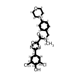 CN(Cc1ccc(N2CCOCC2)cc1)C(=O)c1nc(-c2cc(Cl)c(O)c(Cl)c2)no1